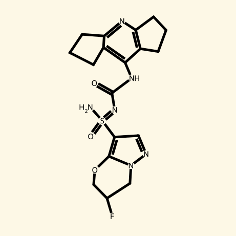 NS(=O)(=NC(=O)Nc1c2c(nc3c1CCC3)CCC2)c1cnn2c1OCC(F)C2